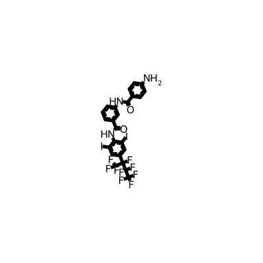 Nc1ccc(C(=O)Nc2cccc(C(=O)Nc3c(I)cc(C(F)(C(F)(F)F)C(F)(F)C(F)(F)F)cc3I)c2)cc1